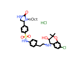 CCCCCCCCN1C(=O)NCC1c1ccc(S(=O)(=O)Nc2ccc(CCNC3c4ccc(Cl)cc4OC(C)(C)C3O)cc2)cc1.Cl